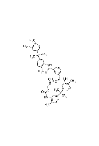 C=CCOC(=O)Nc1cc(C(c2ccc(C)c(NC(=O)c3cccc(C(=O)Nc4cc(C(c5ccc(C)c(C)c5)(C(F)(F)F)C(F)(F)F)ccc4C)c3)c2)(C(F)(F)F)C(F)(F)F)ccc1C